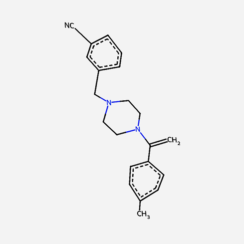 C=C(c1ccc(C)cc1)N1CCN(Cc2cccc(C#N)c2)CC1